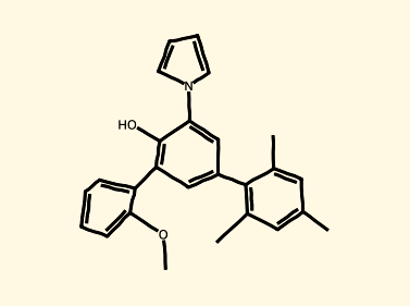 COc1ccccc1-c1cc(-c2c(C)cc(C)cc2C)cc(-n2cccc2)c1O